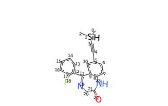 C[SiH](C)C#Cc1ccc2c(c1)C(c1ccccc1F)=NCC(=O)N2